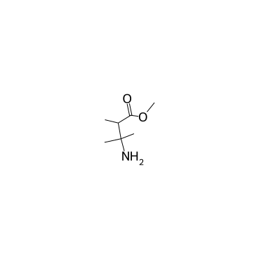 COC(=O)C(C)C(C)(C)N